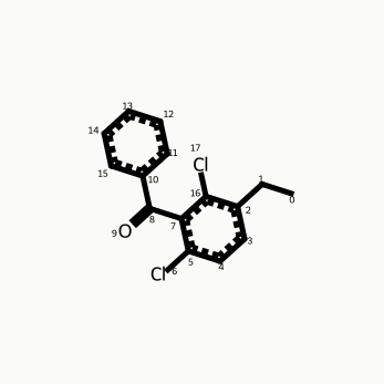 CCc1ccc(Cl)c(C(=O)c2ccccc2)c1Cl